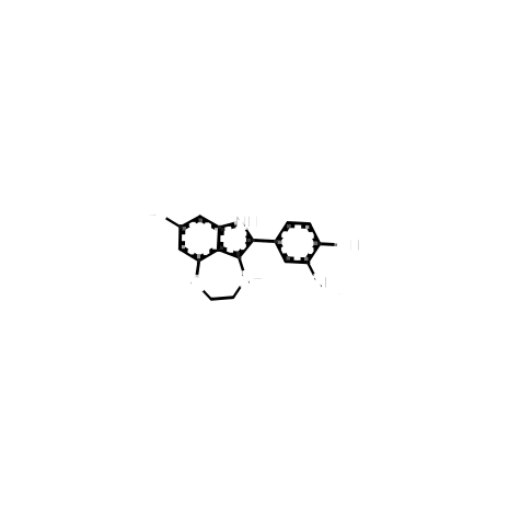 Nc1cc(-c2[nH]c3cc(Br)cc4c3c2NCCO4)ccc1O